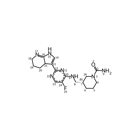 NC(=O)N1CCC[C@H](CNc2nc(C3=CNC4=NCCCC34)ncc2F)C1